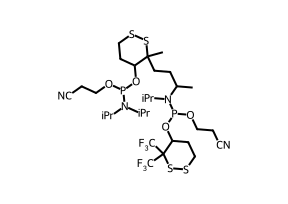 CC(C)N(C(C)C)P(OCCC#N)OC1CCSSC1(C)CCC(C)N(C(C)C)P(OCCC#N)OC1CCSSC1(C(F)(F)F)C(F)(F)F